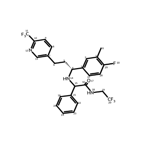 Cc1cc([C@@H](CCc2ccc(C(F)(F)F)nc2)NC(C(=O)NCC(F)(F)F)c2ccccc2)ccc1F